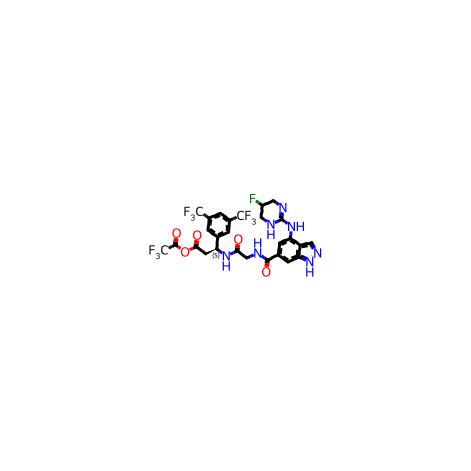 O=C(CNC(=O)c1cc(NC2=NCC(F)CN2)c2cn[nH]c2c1)N[C@@H](CC(=O)OC(=O)C(F)(F)F)c1cc(C(F)(F)F)cc(C(F)(F)F)c1